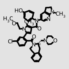 COCCn1c(-c2cc(Cl)ccc2C(=O)N2Cc3ccccc3C[C@H]2CN2CCOCC2)cc(C(=O)N(c2ccc(O)cc2)c2cnc3c(c2)CCN3C)c1C